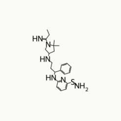 CCC(=N)N1CC(NCCC(Nc2cccc(SN)n2)c2ccccc2)CC1(C)C